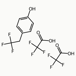 O=C(O)C(F)(F)F.O=C(O)C(F)(F)F.Oc1ccc(CC(F)(F)F)cc1